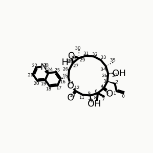 C=CC[C@H]1C(=O)C(C)(C)[C@@H](O)CC(=O)O[C@H](c2ccc3cccnc3c2)C[C@H]2O[C@@]2(C)CCC[C@H](C)[C@@H]1O